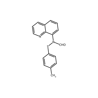 Cc1ccc(SN(C=O)c2cccc3cccnc23)cc1